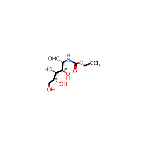 O=C[C@H](NC(=O)OCC(Cl)(Cl)Cl)[C@@H](O)[C@H](O)[C@H](O)CO